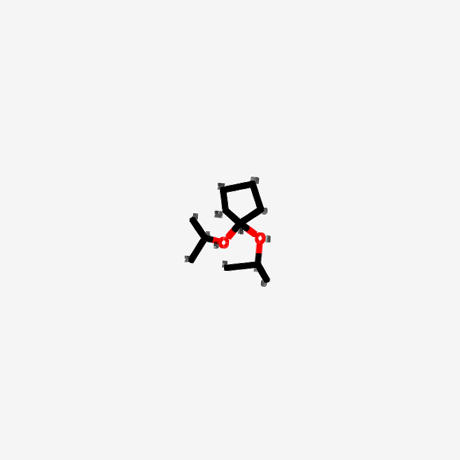 CC(C)OC1(OC(C)C)CCCC1